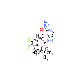 COc1c([C@@H]2[C@@H](C(=O)Nc3ccnc(C(N)=O)c3C)O[C@@](C)(C(F)(F)F)[C@H]2C)ccc(F)c1F